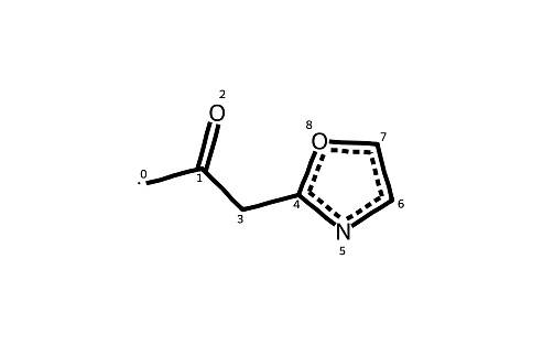 [CH2]C(=O)Cc1ncco1